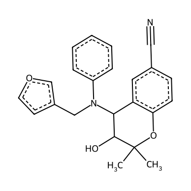 CC1(C)Oc2ccc(C#N)cc2C(N(Cc2ccoc2)c2ccccc2)C1O